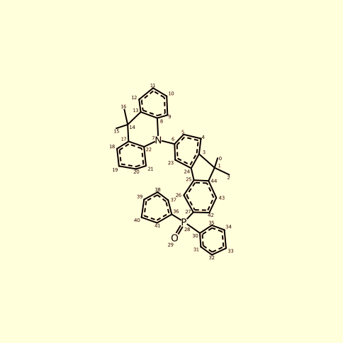 CC1(C)c2ccc(N3c4ccccc4C(C)(C)c4ccccc43)cc2-c2cc(P(=O)(c3ccccc3)c3ccccc3)ccc21